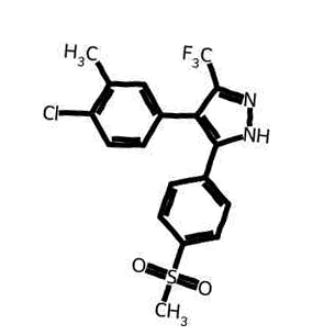 Cc1cc(-c2c(C(F)(F)F)n[nH]c2-c2ccc(S(C)(=O)=O)cc2)ccc1Cl